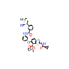 CCC(C#N)c1cccc(C(=O)Nc2cccc(Oc3ccc4nc(NC(=O)C5CC5)sc4c3C(=O)OC)c2)c1